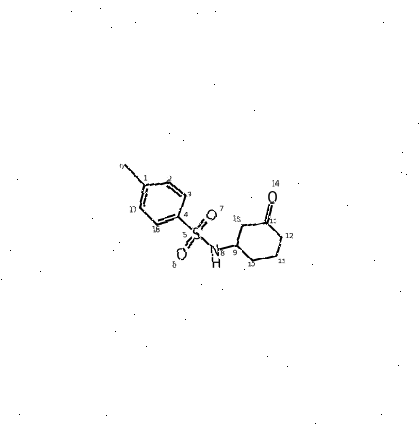 Cc1ccc(S(=O)(=O)NC2CCCC(=O)C2)cc1